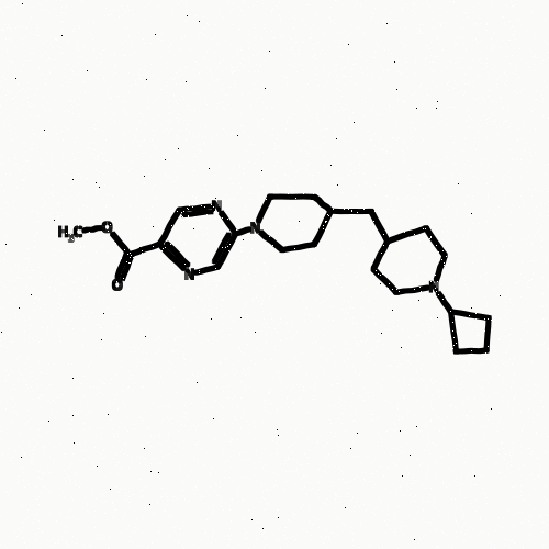 COC(=O)c1cnc(N2CCC(CC3CCN(C4CCC4)CC3)CC2)cn1